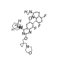 C[C@@]12CC[C@H](CN(c3nc(OCC4(CN5CCOCC5)CC4)nc4c(F)c(-c5c(F)cc(F)c6ccc(N)nc56)c(Cl)cc34)C1)N2